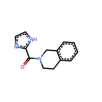 O=C(c1ncc[nH]1)N1CCc2ccccc2C1